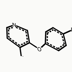 [CH2]c1ccncc1Oc1ccc(F)cc1